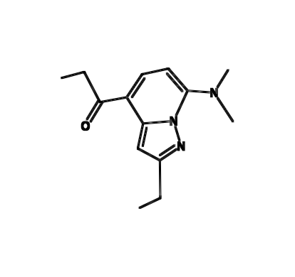 CCC(=O)c1ccc(N(C)C)n2nc(CC)cc12